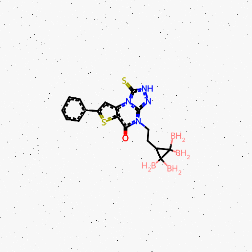 BC1(B)C(CCn2c(=O)c3sc(-c4ccccc4)cc3n3c(=S)[nH]nc23)C1(B)B